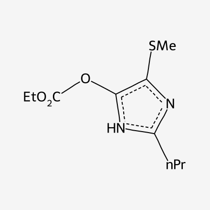 CCCc1nc(SC)c(OC(=O)OCC)[nH]1